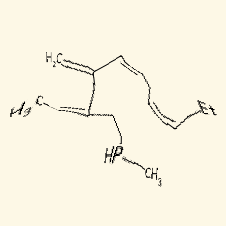 C=C(/C=C\C=C/CC)/C(=C\C)CPC